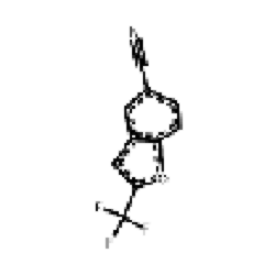 N#Cc1ccc2oc(C(F)(F)F)cc2c1